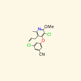 C=CCc1c(C)nc(OC)c(Cl)c1Oc1cc(Cl)cc(C#N)c1